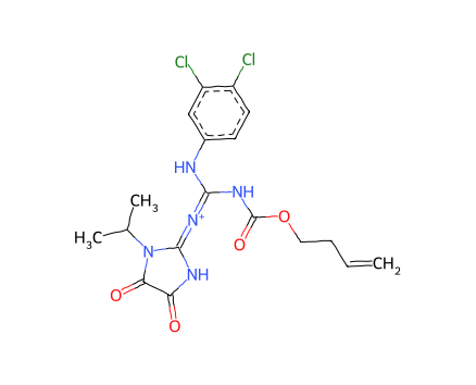 C=CCCOC(=O)NC(=[N+]=C1NC(=O)C(=O)N1C(C)C)Nc1ccc(Cl)c(Cl)c1